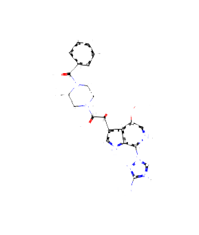 COc1cnc(-n2cnc(N)n2)c2[nH]cc(C(=O)C(=O)N3CCN(C(=O)c4ccccc4)[C@H](C)C3)c12